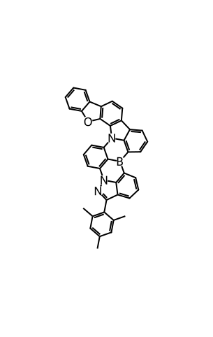 Cc1cc(C)c(-c2nn3c4c(cccc24)B2c4c-3cccc4-n3c4c2cccc4c2ccc4c5ccccc5oc4c23)c(C)c1